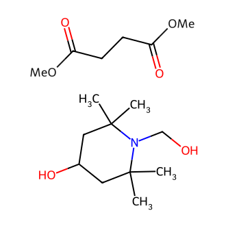 CC1(C)CC(O)CC(C)(C)N1CO.COC(=O)CCC(=O)OC